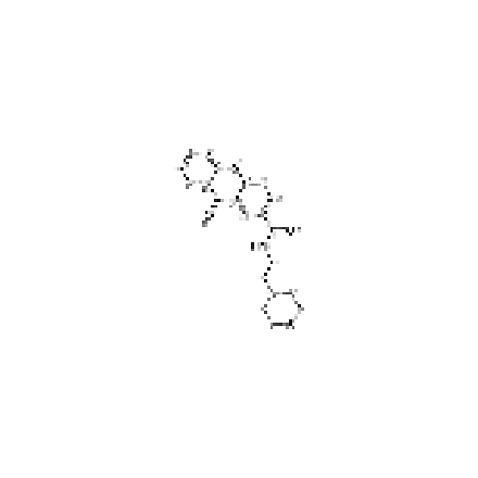 O=C(NCCN1CCSCC1)c1ccc2sc3ccccc3c(=O)c2c1